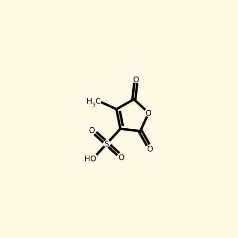 CC1=C(S(=O)(=O)O)C(=O)OC1=O